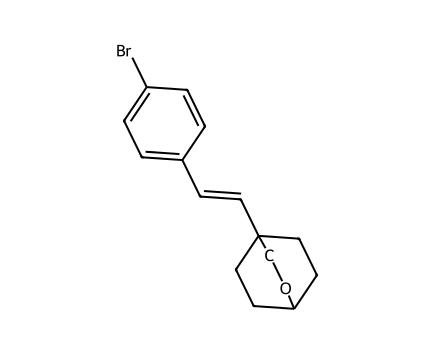 Brc1ccc(C=CC23CCC(CC2)OC3)cc1